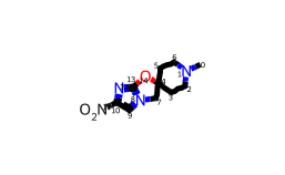 CN1CCC2(CC1)Cn1cc([N+](=O)[O-])nc1O2